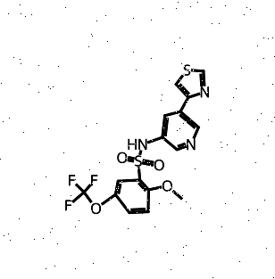 COc1ccc(OC(F)(F)F)cc1S(=O)(=O)Nc1cncc(-c2cscn2)c1